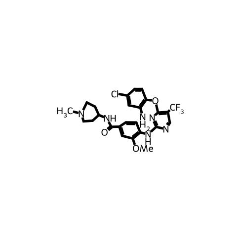 COc1cc(C(=O)NC2CCN(C)CC2)ccc1Nc1ncc(C(F)(F)F)c(Oc2ccc(Cl)cc2N)n1